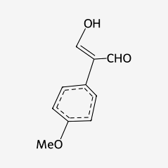 COc1ccc(/C(C=O)=C/O)cc1